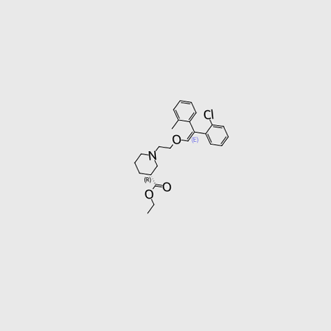 CCOC(=O)[C@@H]1CCCN(CCO/C=C(\c2ccccc2C)c2ccccc2Cl)C1